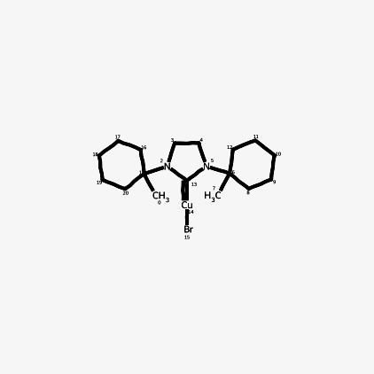 CC1(N2CCN(C3(C)CCCCC3)[C]2=[Cu][Br])CCCCC1